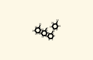 Cc1ccccc1.Cc1ccccc1.Cc1ccccc1.Cc1ccccc1